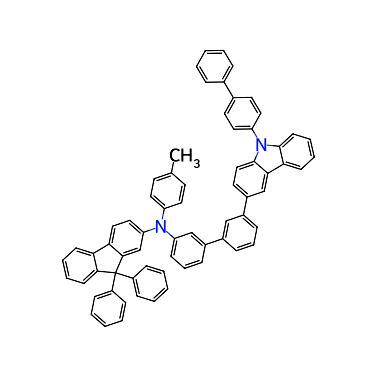 Cc1ccc(N(c2cccc(-c3cccc(-c4ccc5c(c4)c4ccccc4n5-c4ccc(-c5ccccc5)cc4)c3)c2)c2ccc3c(c2)C(c2ccccc2)(c2ccccc2)c2ccccc2-3)cc1